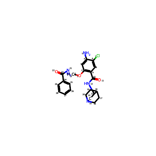 COc1cc(N)c(Cl)cc1C(=O)NC1CN2CCC1CC2.NC(=O)c1ccccc1